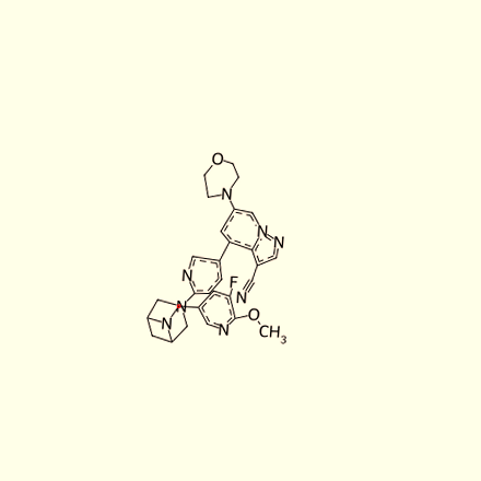 COc1ncc(CN2C3CC2CN(c2ccc(-c4cc(N5CCOCC5)cn5ncc(C#N)c45)cn2)C3)cc1F